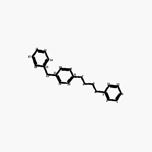 c1ccc(CCCCc2ccc(Cc3ccccc3)cc2)cc1